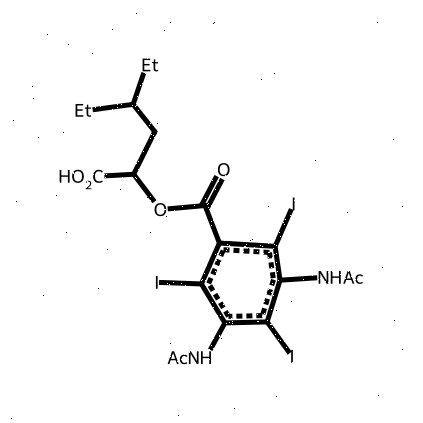 CCC(CC)CC(OC(=O)c1c(I)c(NC(C)=O)c(I)c(NC(C)=O)c1I)C(=O)O